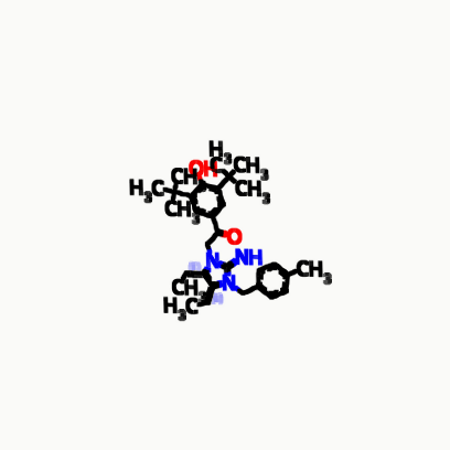 C/C=c1\c(=C/C)n(Cc2ccc(C)cc2)c(=N)n1CC(=O)c1cc(C(C)(C)C)c(O)c(C(C)(C)C)c1